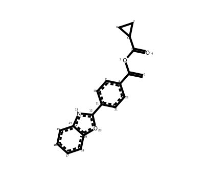 C=C(OC(=O)C1CC1)c1ccc(-c2nc3ccccc3o2)cc1